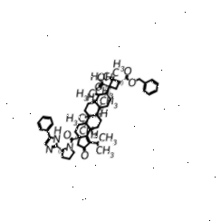 CC(C)C1=C2[C@H]3CC[C@@H]4[C@]5(C)CC[C@H]([C@@]6(C(=O)O)C[C@@H](C(=O)OCc7ccccc7)C6(C)C)C(C)(C)[C@H]5CC[C@@]4(C)[C@]3(C)CC[C@@]2(C(=O)N2CCC[C@H]2c2ncc(-c3ccccc3)[nH]2)CC1=O